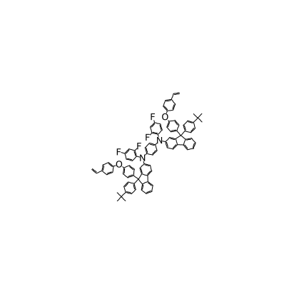 C=Cc1ccc(Oc2ccc(C3(c4ccc(C(C)(C)C)cc4)c4ccccc4-c4ccc(N(c5ccc(N(c6ccc7c(c6)C(c6ccc(Oc8ccc(C=C)cc8)cc6)(c6ccc(C(C)(C)C)cc6)c6ccccc6-7)c6ccc(F)cc6F)cc5)c5ccc(F)cc5F)cc43)cc2)cc1